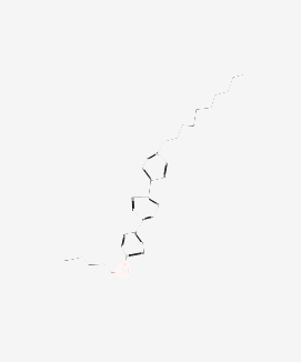 CCCCCCCCCCc1ccc(-c2ccc(-c3ccc(O[C@H](C)CCCCC)cc3)cc2)cc1